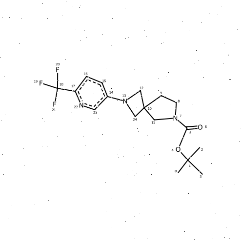 CC(C)(C)OC(=O)N1CCC2(C1)CN(c1ccc(C(F)(F)F)nc1)C2